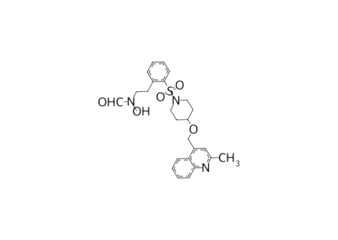 Cc1cc(COC2CCN(S(=O)(=O)c3ccccc3CCN(O)C=O)CC2)c2ccccc2n1